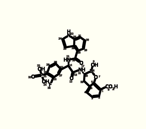 O=C(O)c1cccc2c1OB(O)[C@@H](NC(=O)[C@H](NC(=O)c1cccc3[nH]ccc13)c1ccc(P(=O)(O)O)c(F)c1)C2